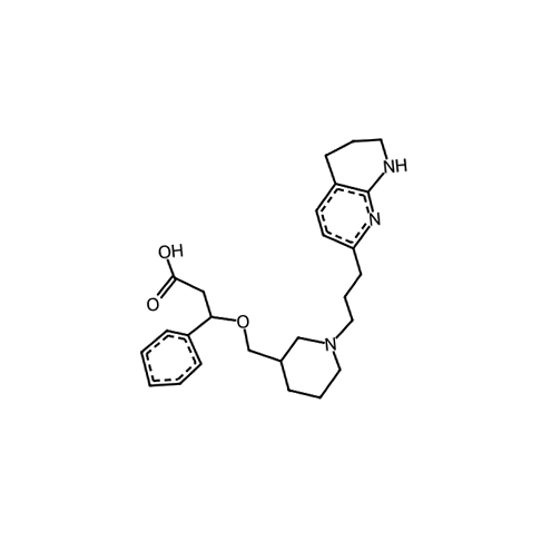 O=C(O)CC(OCC1CCCN(CCCc2ccc3c(n2)NCCC3)C1)c1ccccc1